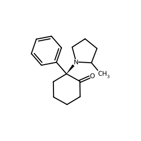 CC1CCCN1[C@]1(c2ccccc2)CCCCC1=O